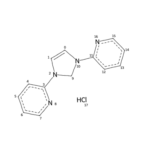 C1=CN(c2ccccn2)CN1c1ccccn1.Cl